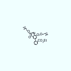 CCOC(=O)c1ccccc1-c1cc(OCOCC[Si](C)(C)C)c2ncn(COCC[Si](C)(C)C)c(=O)c2c1